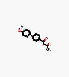 CCCOc1ccc(-c2ccc(C(=O)CC(=O)C(F)(F)F)cc2)cc1